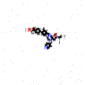 Cc1cc(CN2CCN(Cc3ccncc3)C(CC(=O)NC(C)C)C2)ccc1-c1ccc(C(C)(O)C(F)(F)F)cc1